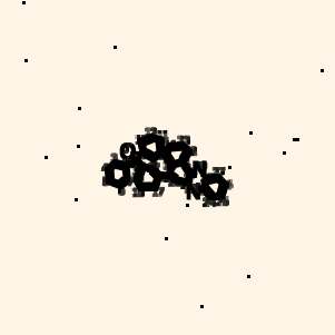 O=P(c1ccccc1)(c1ccccc1)c1cccc(-c2cc3nc4ccccc4nc3c3ccccc23)c1